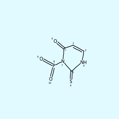 O=c1cc[nH]c(=S)n1P(=O)=O